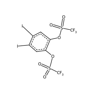 O=S(=O)(Oc1cc(I)c(I)cc1OS(=O)(=O)C(F)(F)F)C(F)(F)F